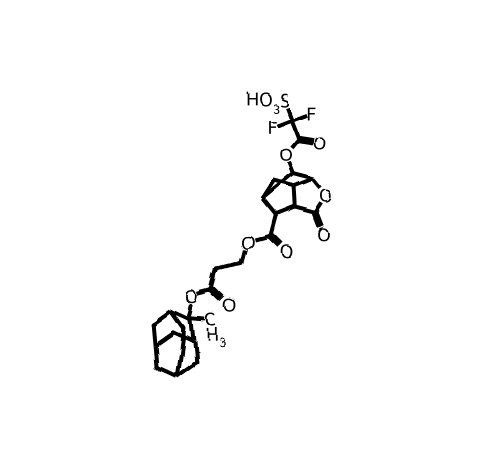 CC1(OC(=O)CCOC(=O)C2C3CC4C(OC(=O)C42)C3OC(=O)C(F)(F)S(=O)(=O)O)C2CC3CC(C2)CC1C3